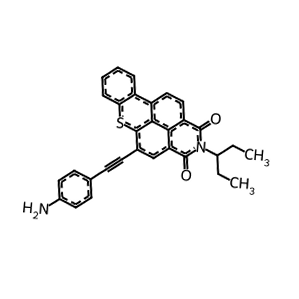 CCC(CC)n1c(=O)c2ccc3c4ccccc4sc4c(C#Cc5ccc(N)cc5)cc(c1=O)c2c43